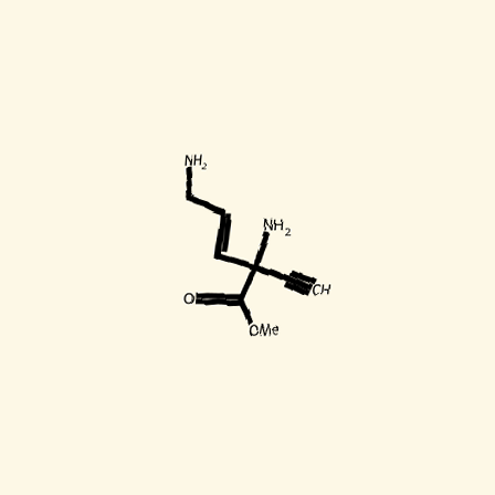 C#CC(N)(C=CCN)C(=O)OC